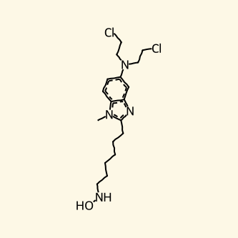 Cn1c(CCCCCCNO)nc2cc(N(CCCl)CCCl)ccc21